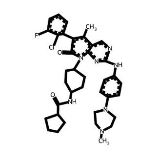 Cc1c(-c2cccc(F)c2Cl)c(=O)n(C2CCC(NC(=O)C3CCCC3)CC2)c2nc(Nc3ccc(N4CCN(C)CC4)cc3)ncc12